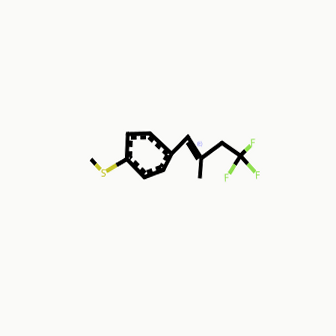 CSc1ccc(/C=C(\C)CC(F)(F)F)cc1